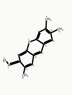 CC/N=c1\cc2oc3cc(C)c(C)cc3cc-2cc1C